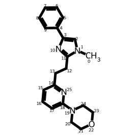 Cn1cc(-c2ccccc2)nc1CCc1cccc(N2CCOCC2)n1